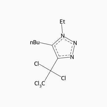 CCCCc1c(C(Cl)(Cl)C(Cl)(Cl)Cl)nnn1CC